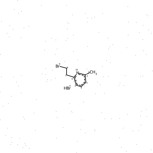 Br.Cc1cccc(CCBr)n1